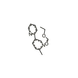 CCOC=O.Cc1ccc(-c2ccccn2)cn1